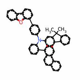 CC1(C)c2ccccc2-c2ccc(N(c3ccc(-c4cccc5c4oc4ccccc45)cc3)c3ccccc3-c3cccc4c3ccc3ccccc34)cc21